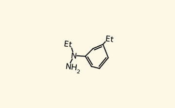 CCc1cccc(N(N)CC)c1